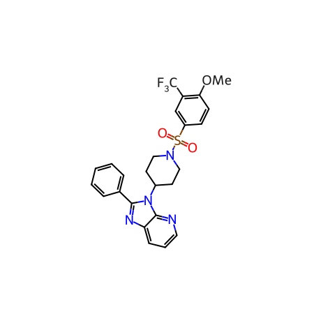 COc1ccc(S(=O)(=O)N2CCC(n3c(-c4ccccc4)nc4cccnc43)CC2)cc1C(F)(F)F